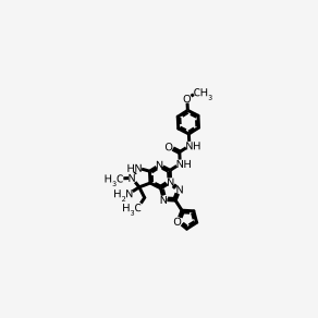 CCC1(N)c2c(nc(NC(=O)Nc3ccc(OC)cc3)n3nc(-c4ccco4)nc23)NN1C